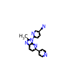 Cc1nc2ccc(-c3ccncc3)nc2n1-c1ccc(C#N)cn1